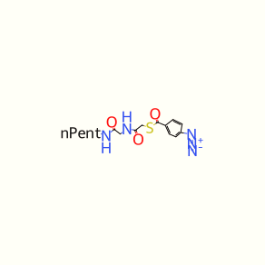 CCCCCNC(=O)CNC(=O)CSC(=O)c1ccc(N=[N+]=[N-])cc1